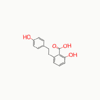 O=C(O)c1c(O)cccc1CCc1ccc(O)cc1